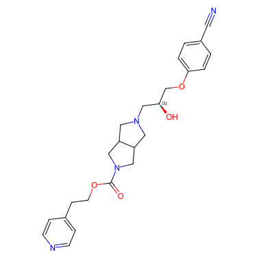 N#Cc1ccc(OC[C@@H](O)CN2CC3CN(C(=O)OCCc4ccncc4)CC3C2)cc1